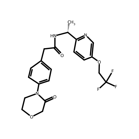 C[C@@H](NC(=O)Cc1ccc(N2CCOCC2=O)cc1)c1ccc(OCC(F)(F)F)cn1